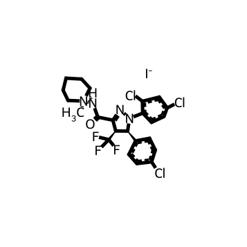 C[N+]1(NC(=O)C2=NN(c3ccc(Cl)cc3Cl)[C@@H](c3ccc(Cl)cc3)[C@H]2C(F)(F)F)CCCCC1.[I-]